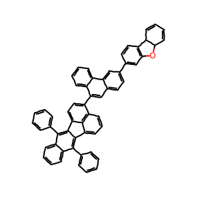 C1=CC2Oc3cc(-c4ccc5cc(-c6ccc7c8c(cccc68)-c6c-7c(-c7ccccc7)c7ccccc7c6-c6ccccc6)c6ccccc6c5c4)ccc3C2C=C1